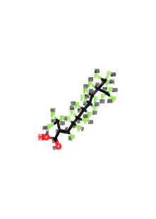 O=C(O)C(=C(F)C(F)(F)C(F)(F)C(F)(F)C(F)(F)C(F)(F)C(F)(C(F)(F)F)C(F)(F)F)C(F)(F)F